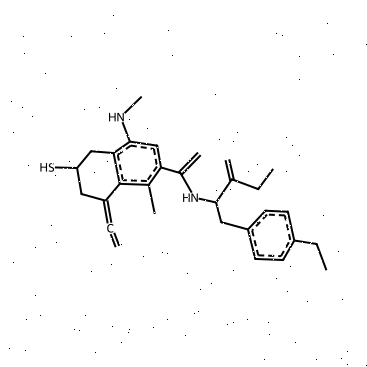 C=C=C1CC(S)Cc2c(NC)cc(C(=C)NC(Cc3ccc(CC)cc3)C(=C)CC)c(C)c21